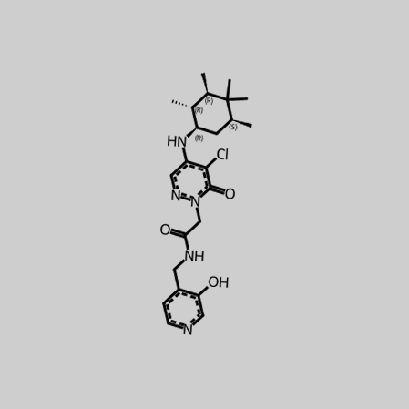 C[C@@H]1[C@@H](C)C(C)(C)[C@@H](C)C[C@H]1Nc1cnn(CC(=O)NCc2ccncc2O)c(=O)c1Cl